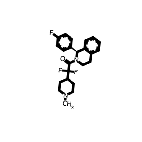 CN1CCC(C(F)(F)C(=O)N2CCc3ccccc3[C@@H]2c2ccc(F)cc2)CC1